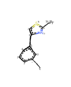 Cc1cccc(-c2csc(C(C)C)n2)c1